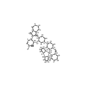 Cc1ccc(-c2nc3ccccc3n2-c2ccc(-c3ccc4c(c3)C3(c5ccccc5S4)c4ccccc4-c4ccccc43)cc2)c(C)n1